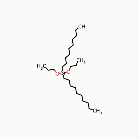 CCCCCCCCCC[Si](CCCCCCCCCC)(OCCC)OCCC